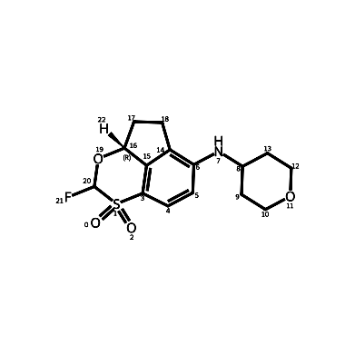 O=S1(=O)c2ccc(NC3CCOCC3)c3c2[C@@H](CC3)OC1F